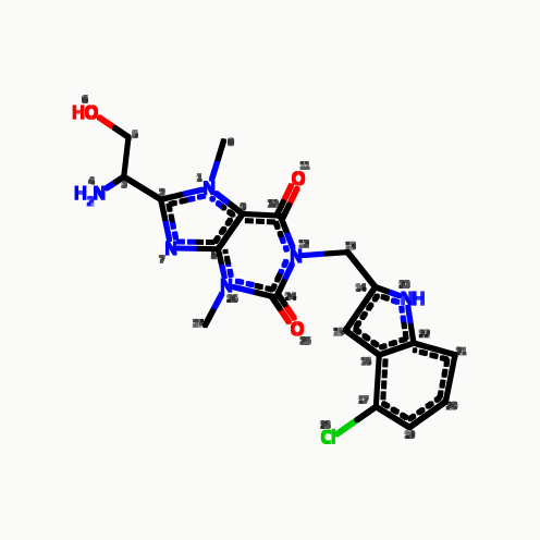 Cn1c(C(N)CO)nc2c1c(=O)n(Cc1cc3c(Cl)cccc3[nH]1)c(=O)n2C